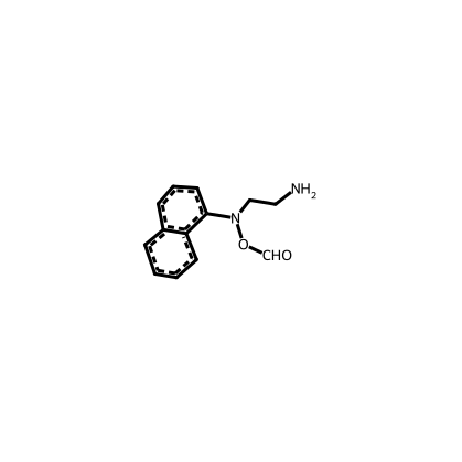 NCCN(OC=O)c1cccc2ccccc12